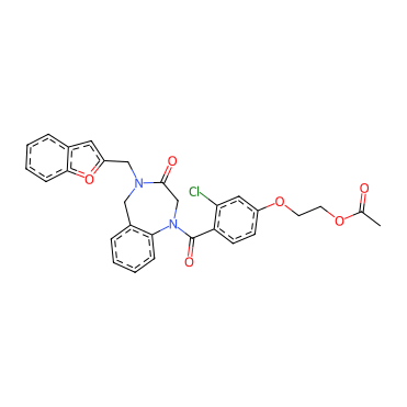 CC(=O)OCCOc1ccc(C(=O)N2CC(=O)N(Cc3cc4ccccc4o3)Cc3ccccc32)c(Cl)c1